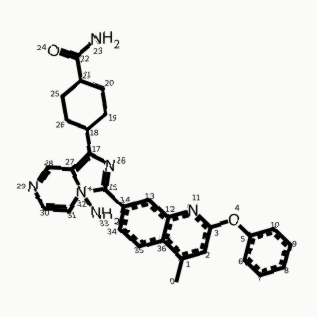 Cc1cc(Oc2ccccc2)nc2cc(C3=NC(C4CCC(C(N)=O)CC4)=C4C=NC=C[N+]34N)ccc12